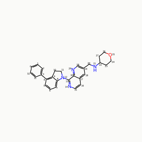 c1ccc(-c2cccc3c2CCN3c2nccc3cc(CNC4CCOCC4)cnc23)cc1